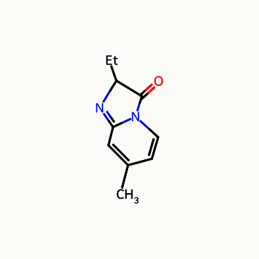 CCC1N=C2C=C(C)C=CN2C1=O